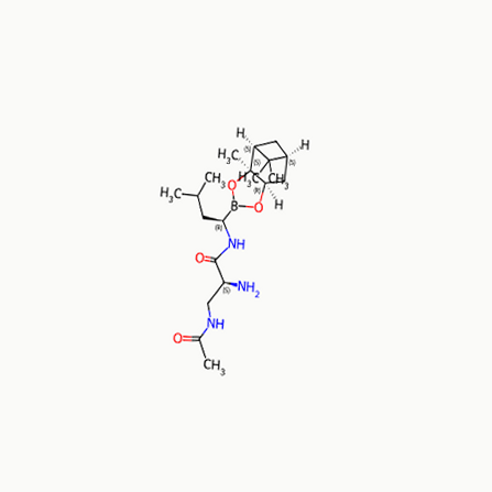 CC(=O)NC[C@H](N)C(=O)N[C@@H](CC(C)C)B1O[C@@H]2C[C@@H]3C[C@@H](C3(C)C)[C@]2(C)O1